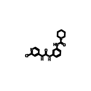 O=C(Nc1cccc(NC(=O)N2CCCCC2)c1)Nc1ccnc(Cl)c1